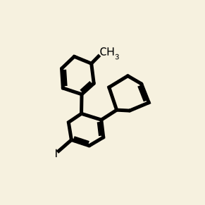 CC1C=C(C2CC(I)=CC=C2C2CC=CCC2)C=CC1